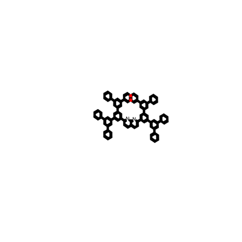 c1ccc(-c2cc(-c3ccccc3)cc(-c3cc(-c4cc(-c5ccccc5)cc(-c5ccccc5)c4)cc(-c4ccc5ccc(-c6cc(-c7cc(-c8ccccc8)cc(-c8ccccc8)c7)cc(-c7cc(-c8ccccc8)cc(-c8ccccc8)c7)c6)nc5n4)c3)c2)cc1